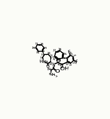 C[C@H](N)C(=O)N(C(=O)[C@H](O)c1cc(F)cc(F)c1)[C@@H]1C(=O)NC[C@@H](c2ccccc2)C[C@@H]1c1ccccc1